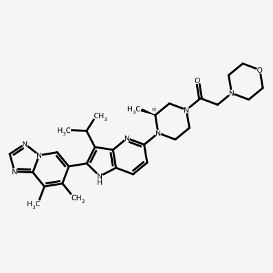 Cc1c(-c2[nH]c3ccc(N4CCN(C(=O)CN5CCOCC5)C[C@@H]4C)nc3c2C(C)C)cn2ncnc2c1C